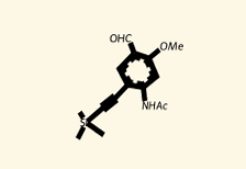 COc1cc(NC(C)=O)c(C#C[Si](C)(C)C)cc1C=O